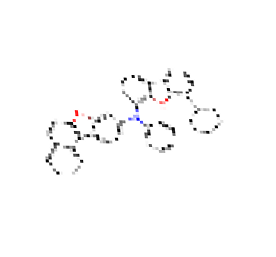 c1ccc(N(c2ccc3c(c2)oc2ccc4ccccc4c23)c2cccc3c2oc2c(C4CCCCC4)cccc23)cc1